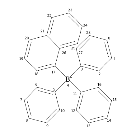 c1ccc([B-](c2ccccc2)(c2ccccc2)c2cccc3ccccc23)cc1